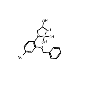 N#Cc1ccc(N2CC(O)NS2(O)O)c(OCc2ccccc2)c1